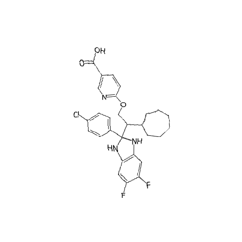 O=C(O)c1ccc(OCC(C2CCCCCC2)C2(c3ccc(Cl)cc3)Nc3cc(F)c(F)cc3N2)nc1